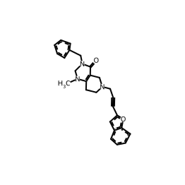 CN1CN(Cc2ccccc2)C(=O)C2=C1CCN(CC#Cc1cc3ccccc3o1)C2